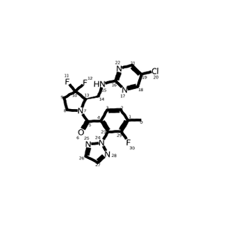 Cc1ccc(C(=O)N2CCC(F)(F)[C@H]2CNc2ncc(Cl)cn2)c(-n2nccn2)c1F